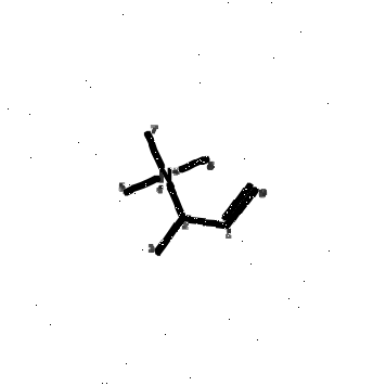 C=CC(C)[N+](C)(C)C